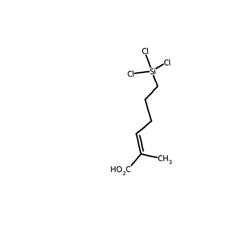 CC(=CCCC[Si](Cl)(Cl)Cl)C(=O)O